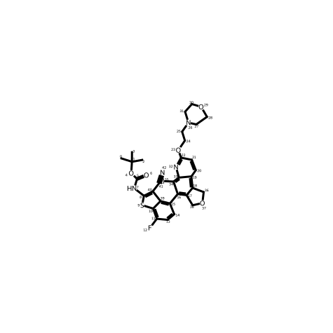 CC(C)(C)OC(=O)Nc1sc2c(F)ccc(-c3c4c(c5ccc(OCCN6CCOCC6)nc5c3Cl)COC4)c2c1C#N